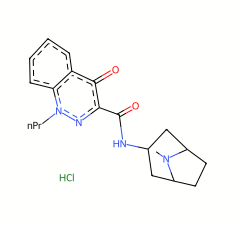 CCCn1nc(C(=O)NC2CC3CCC(C2)N3C)c(=O)c2ccccc21.Cl